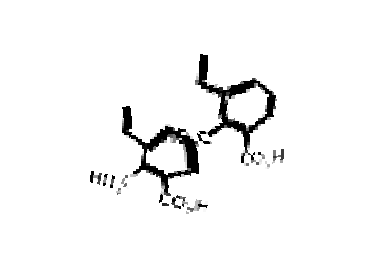 C=Cc1cccc(C(=O)O)c1C(=O)O.C=Cc1cccc(C(=O)O)c1C(=O)O